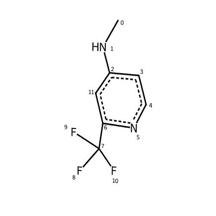 CNc1ccnc(C(F)(F)F)c1